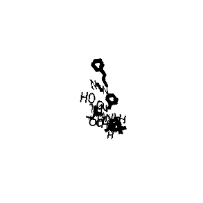 CC1[C@@H](NC(=O)[C@@H]2[C@H]([C@H](C)O)[C@H](CO)ON2Cc2cccc(N(CCCc3ccccc3)CCN(C)C)c2)C[C@H]2C[C@@H]1C2(C)C